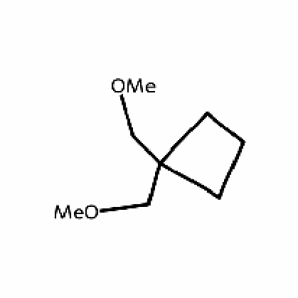 COCC1(COC)CCC1